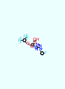 CN(Cc1cccc(F)c1)c1ncnc2c1ncn2[C@@H]1O[C@H](COCc2cc(C(F)(F)F)cc(C(F)(F)F)c2)C[C@H]1OC(C)(C)O